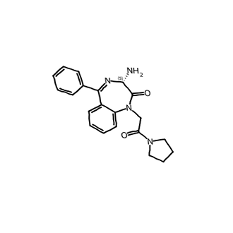 N[C@H]1N=C(c2ccccc2)c2ccccc2N(CC(=O)N2CCCC2)C1=O